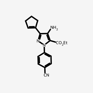 CCOC(=O)c1c(N)c(C2=CCCC2)nn1-c1ccc(C#N)cc1